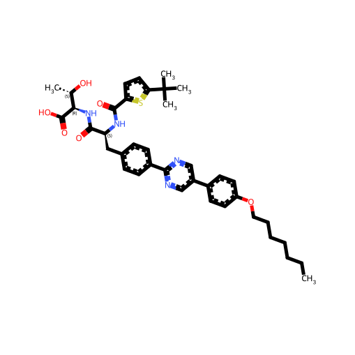 CCCCCCCOc1ccc(-c2cnc(-c3ccc(C[C@H](NC(=O)c4ccc(C(C)(C)C)s4)C(=O)N[C@@H](C(=O)O)[C@H](C)O)cc3)nc2)cc1